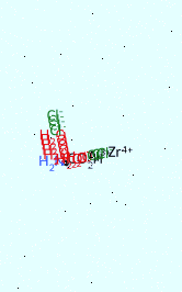 NCC(=O)O.O.O.O.O.O.O.O.O.[Al+3].[Cl-].[Cl-].[Cl-].[Cl-].[Cl-].[Cl-].[Cl-].[Zr+4]